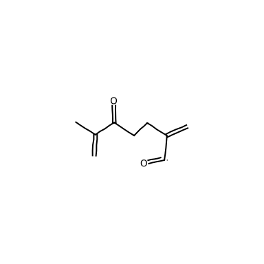 C=C([C]=O)CCC(=O)C(=C)C